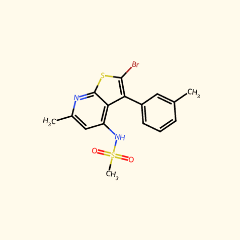 Cc1cccc(-c2c(Br)sc3nc(C)cc(NS(C)(=O)=O)c23)c1